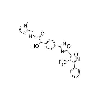 Cn1cccc1CNC(=O)C(O)c1ccc(-c2noc(-c3onc(-c4ccccc4)c3C(F)(F)F)n2)cc1